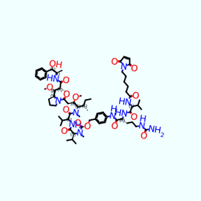 CC[C@H](C)[C@@H]([C@@H](CC(=O)N1CCC[C@H]1[C@H](OC)[C@@H](C)C(=O)N[C@H](C)[C@@H](O)c1ccccc1)OC)N(C)C(=O)[C@@H](NC(=O)[C@H](C(C)C)N(C)C(=O)OCc1ccc(NC(=O)[C@@H](CCCNC(N)=O)NC(=O)[C@@H](NC(=O)CCCCCN2C(=O)C=CC2=O)C(C)C)cc1)C(C)C